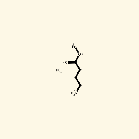 CC(C)OC(=O)CCCN.Cl